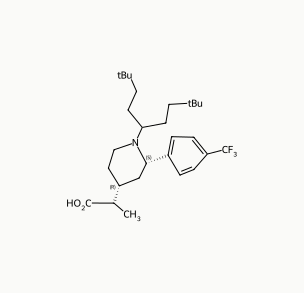 CC(C(=O)O)[C@@H]1CCN(C(CCC(C)(C)C)CCC(C)(C)C)[C@H](c2ccc(C(F)(F)F)cc2)C1